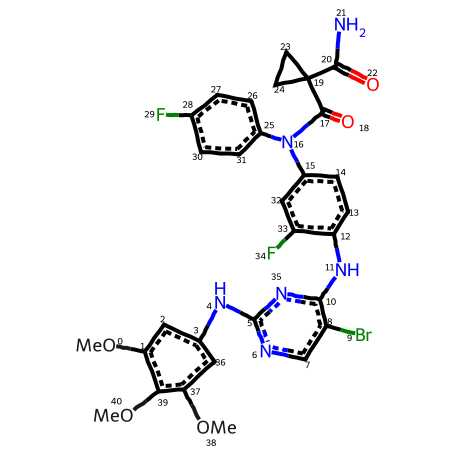 COc1cc(Nc2ncc(Br)c(Nc3ccc(N(C(=O)C4(C(N)=O)CC4)c4ccc(F)cc4)cc3F)n2)cc(OC)c1OC